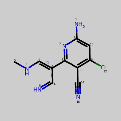 CN/C=C(\C=N)c1nc(N)cc(Cl)c1C#N